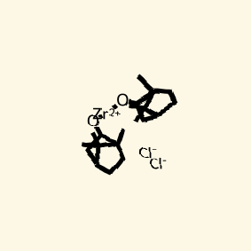 CC1(C)C2CCC1(C)C([O][Zr+2][O]C1CC3CCC1(C)C3(C)C)C2.[Cl-].[Cl-]